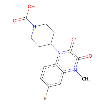 Cn1c(=O)c(=O)n(C2CCN(C(=O)O)CC2)c2ccc(Br)cc21